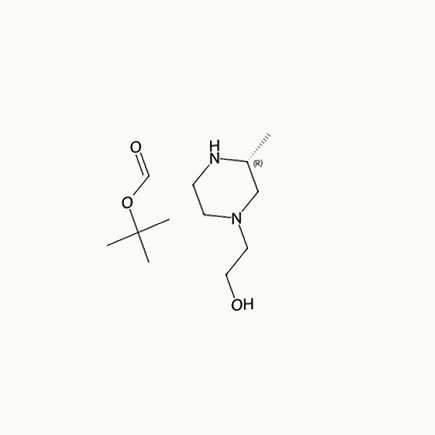 CC(C)(C)OC=O.C[C@@H]1CN(CCO)CCN1